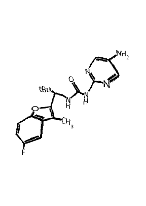 Cc1c([C@H](NC(=O)Nc2ncc(N)cn2)C(C)(C)C)oc2ccc(F)cc12